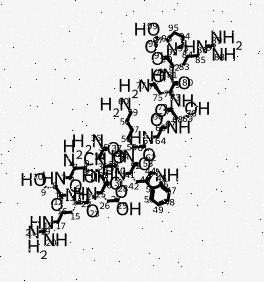 C[C@@H](O)[C@H](N)C(=O)N[C@@H](CO)C(=O)N[C@@H](CCCNC(=N)N)C(=O)N[C@@H](CC(=O)O)C(=O)N[C@@H](CC(N)=O)C(=O)N[C@@H](Cc1c[nH]c2ccccc12)C(=O)N[C@@H](CCCCN)C(=O)NCC(=O)N[C@@H](CO)C(=O)N[C@@H](CC(N)=O)C(=O)N[C@@H](CCCNC(=N)N)C(=O)N1CCC[C@H]1C(=O)O